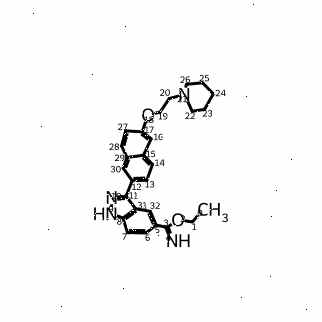 CCOC(=N)c1ccc2[nH]nc(-c3ccc4cc(OCCN5CCCCC5)ccc4c3)c2c1